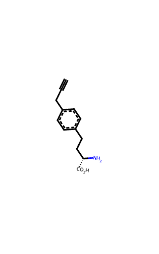 C#CCc1ccc(CC[C@H](N)C(=O)O)cc1